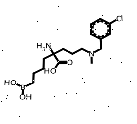 CN(CCCC(N)(CCCCB(O)O)C(=O)O)Cc1cccc(Cl)c1